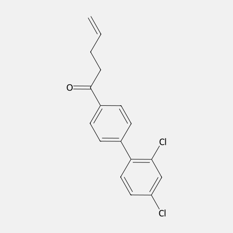 C=CCCC(=O)c1ccc(-c2ccc(Cl)cc2Cl)cc1